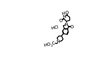 Cl.O=C(O)CN1CCC(c2ccc3c(c2)CN(C2CCC(=O)NC2=O)C3=O)CC1